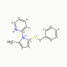 Cc1ccc(SCc2ccccc2)n1-c1ccccn1